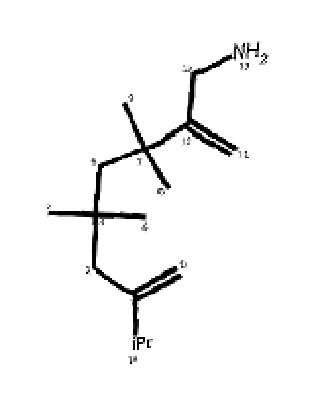 C=C(CC(C)(C)CC(C)(C)C(=C)CN)C(C)C